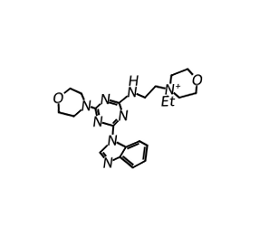 CC[N+]1(CCNc2nc(N3CCOCC3)nc(-n3cnc4ccccc43)n2)CCOCC1